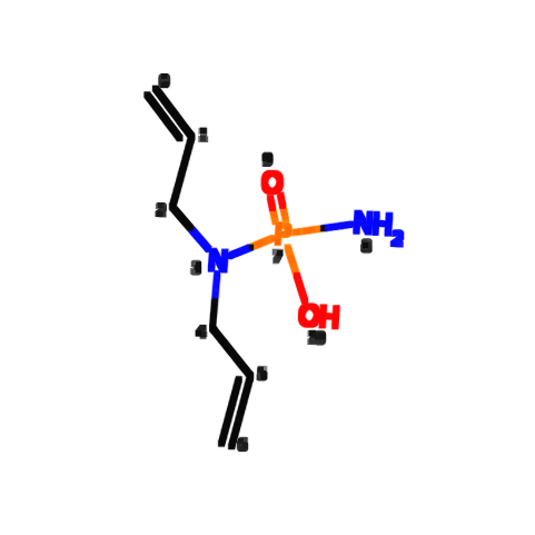 C=CCN(CC=C)P(N)(=O)O